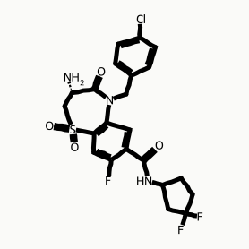 N[C@H]1CS(=O)(=O)c2cc(F)c(C(=O)NC3CCC(F)(F)C3)cc2N(Cc2ccc(Cl)cc2)C1=O